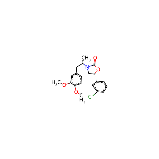 COc1ccc(C[C@@H](C)N2C[C@@H](c3cccc(Cl)c3)OC2=O)cc1OC